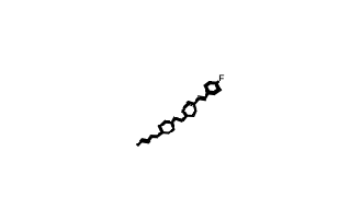 CCCCCC1CCC(CCC2CCC(CCc3ccc(F)cc3)CC2)CC1